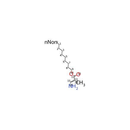 CCCCCCCCCCCCCCCCCCOC(=O)C(C)=CN